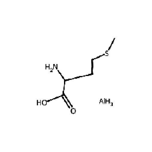 CSCCC(N)C(=O)O.[AlH3]